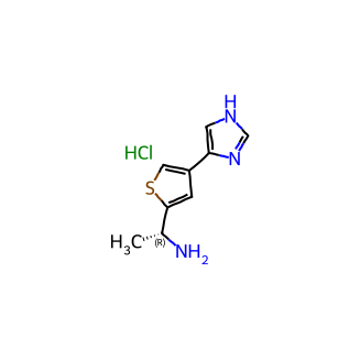 C[C@@H](N)c1cc(-c2c[nH]cn2)cs1.Cl